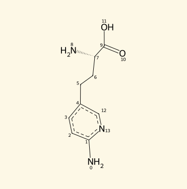 Nc1ccc(CC[C@H](N)C(=O)O)cn1